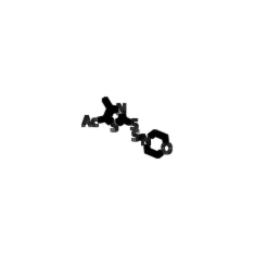 CC(=O)c1sc(SSN2CCOCC2)nc1C